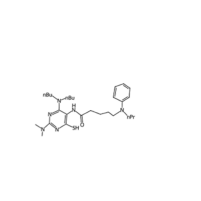 CCCCN(CCCC)c1nc(N(C)C)nc(S)c1NC(=O)CCCCN(CCC)c1ccccc1